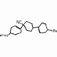 CCCCCC1CC=C(C2(C#N)CCC(C3CCC(CCCC)CC3)CC2)CC1